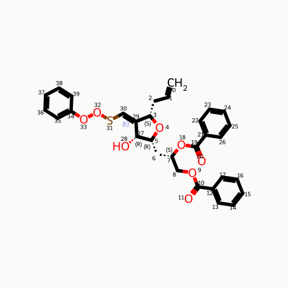 C=CC[C@@H]1O[C@H](C[C@@H](COC(=O)c2ccccc2)OC(=O)c2ccccc2)[C@H](O)/C1=C\SOOc1ccccc1